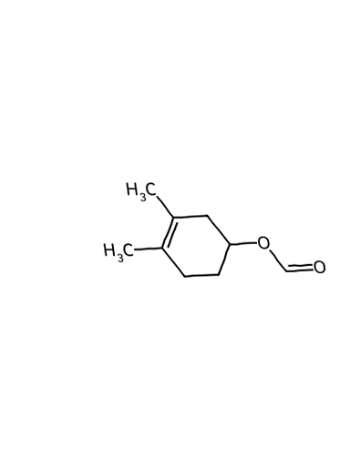 CC1=C(C)CC(OC=O)CC1